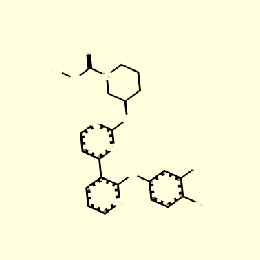 CC(C)(C)OC(=O)N1CCCC(Nc2nccc(-c3cccnc3Oc3ccc(N)c(F)c3)n2)C1